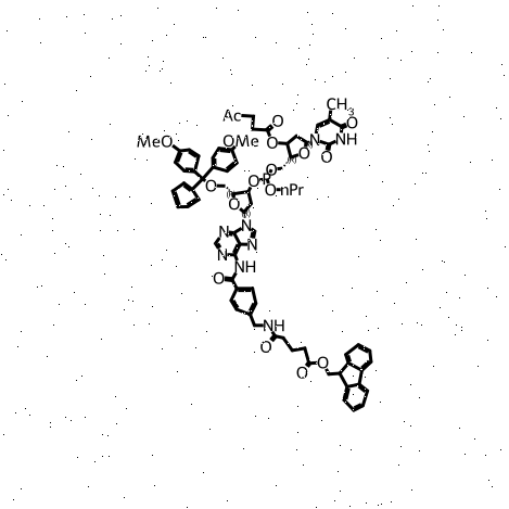 CCCOP(OC[C@H]1O[C@@H](n2cc(C)c(=O)[nH]c2=O)CC1OC(=O)CCC(C)=O)OC1C[C@H](n2cnc3c(NC(=O)c4ccc(CNC(=O)CCCC(=O)OCC5c6ccccc6-c6ccccc65)cc4)ncnc32)O[C@@H]1COC(c1ccccc1)(c1ccc(OC)cc1)c1ccc(OC)cc1